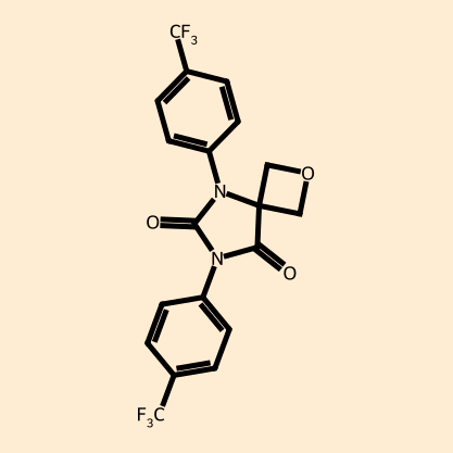 O=C1N(c2ccc(C(F)(F)F)cc2)C(=O)C2(COC2)N1c1ccc(C(F)(F)F)cc1